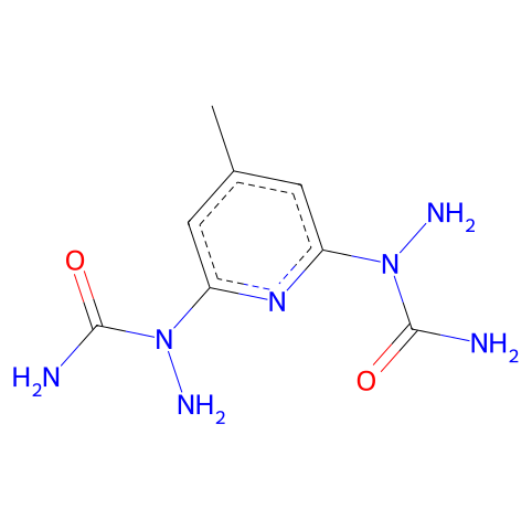 Cc1cc(N(N)C(N)=O)nc(N(N)C(N)=O)c1